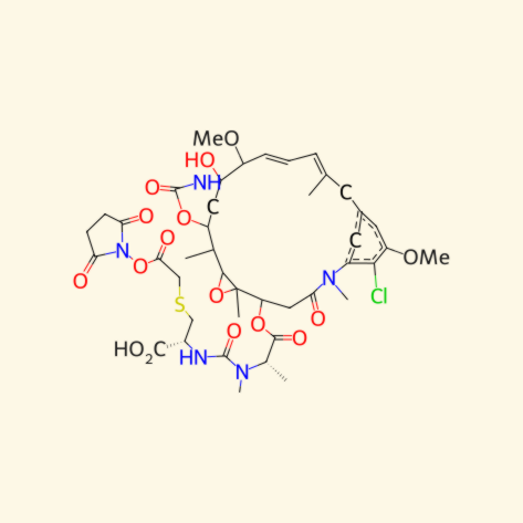 COc1cc2cc(c1Cl)N(C)C(=O)CC(OC(=O)[C@H](C)N(C)C(=O)N[C@@H](CSCC(=O)ON1C(=O)CCC1=O)C(=O)O)C1(C)OC1C(C)C1CC(O)(NC(=O)O1)C(OC)/C=C/C=C(\C)C2